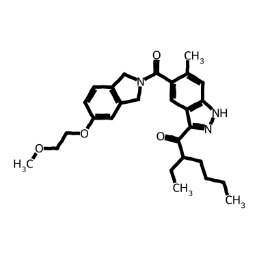 CCCCC(CC)C(=O)c1n[nH]c2cc(C)c(C(=O)N3Cc4ccc(OCCOC)cc4C3)cc12